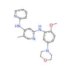 COc1ccc(N2CCOCC2)cc1Nc1cc(Nc2ccccn2)c(C)cn1